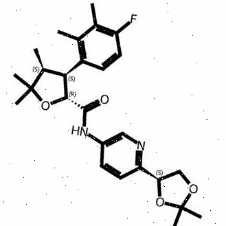 Cc1c(F)ccc([C@H]2[C@H](C(=O)Nc3ccc([C@H]4COC(C)(C)O4)nc3)OC(C)(C)[C@H]2C)c1C